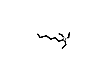 CCCCCC[B-](CC)(CC)CC